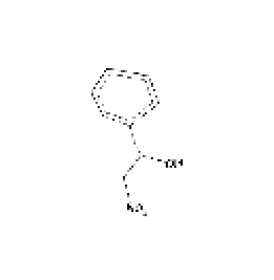 O=[N+]([O-])CC(O)c1ccccc1